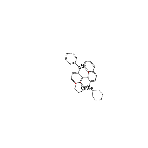 COc1cccc(P(c2ccccc2)c2ccccc2)c1-c1c(Br)cccc1P(C1CCCCC1)C1CCCCC1